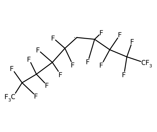 FC(F)(F)C(F)(F)C(F)(F)C(F)(F)[CH]C(F)(F)C(F)(F)C(F)(F)C(F)(F)C(F)(F)F